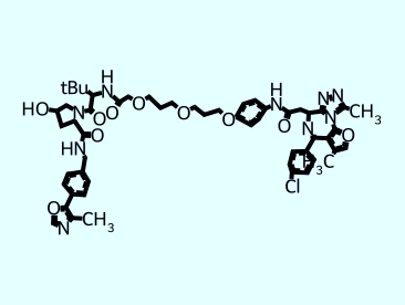 Cc1coc2c1C(c1ccc(Cl)cc1)=NC(CC(=O)Nc1ccc(OCCCOCCCOCC(=O)NC(C(=O)N3CC(O)CC3C(=O)NCc3ccc(-c4ocnc4C)cc3)C(C)(C)C)cc1)c1nnc(C)n1-2